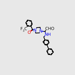 O=CC(NCc1ccc(-c2ccccc2)cc1)N1CCN(C(=O)c2ccccc2C(F)(F)F)CC1